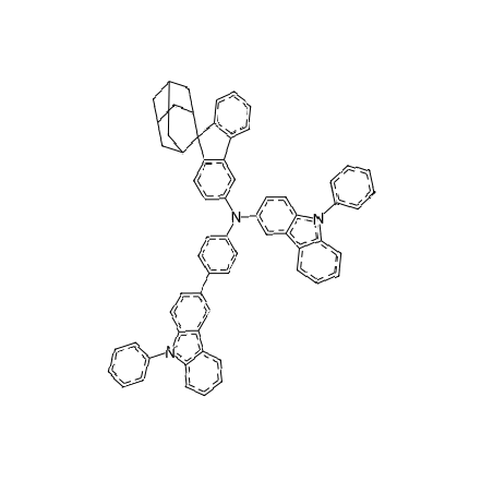 c1ccc(-n2c3ccccc3c3cc(-c4ccc(N(c5ccc6c(c5)-c5ccccc5C65C6CC7CC(C6)CC5C7)c5ccc6c(c5)c5ccccc5n6-c5ccccc5)cc4)ccc32)cc1